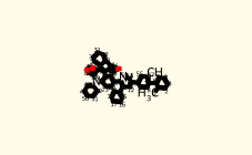 Cc1ccccc1-c1ccc(-c2cc(-c3ccccc3)c(-c3ccc4c(c3)C3(c5ccccc5-c5ccccc53)c3ccccc3N4c3ccccc3)nn2)cc1C